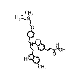 CCN(CC)CCOc1ccc(CN(CCc2c[nH]c3cc(C)ccc23)C2CCc3cc(C=CC(=O)NO)ccc32)cc1